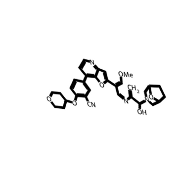 C=C(/N=C\C(=C\OC)c1cc2nccc(-c3ccc(OC4CCOCC4)c(C#N)c3)c2o1)C(O)N1CC2CCC(C1)O2